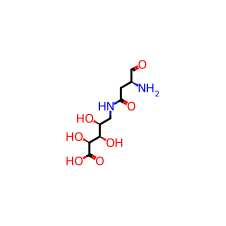 N[C@H](C=O)CC(=O)NC[C@H](O)[C@@H](O)[C@H](O)C(=O)O